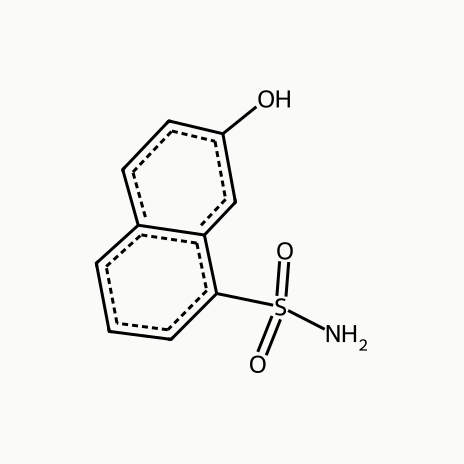 NS(=O)(=O)c1cccc2ccc(O)cc12